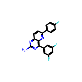 Nc1nc(-c2cc(F)cc(F)c2)c2nc(-c3ccc(F)cc3)ccc2n1